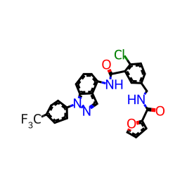 O=C(NCc1ccc(Cl)c(C(=O)Nc2cccc3c2cnn3-c2ccc(C(F)(F)F)cc2)c1)c1ccco1